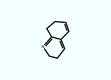 C1=CC2=CCCN=C2CC1